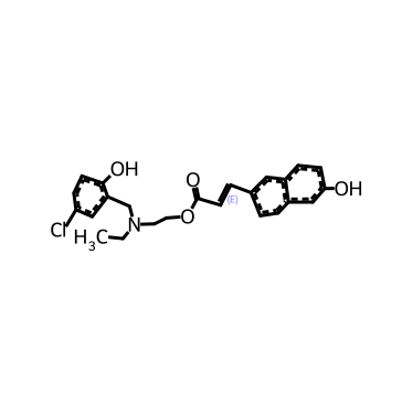 CCN(CCOC(=O)/C=C/c1ccc2cc(O)ccc2c1)Cc1cc(Cl)ccc1O